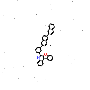 c1cc(-c2ccc3cc(-c4ccc5ccccc5c4)ccc3c2)cc(-c2nc3ccccc3c3c2oc2ccccc23)c1